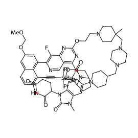 COCOc1cc(-c2ncc3c(N4CC5CCC(C4)N5C(=O)OC(C)(C)C)nc(OCCN4CCC(C)(CN5CCN(CC6CCN(c7ccc8c(c7)n(C)c(=O)n8C7CCC(=O)NC7=O)CC6)CC5)CC4)nc3c2F)c2c(C#C[Si](C(C)C)(C(C)C)C(C)C)c(F)ccc2c1